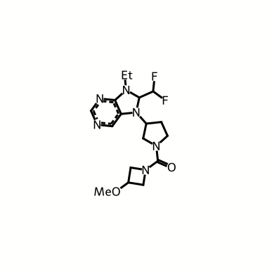 CCN1c2ncncc2N(C2CCN(C(=O)N3CC(OC)C3)C2)C1C(F)F